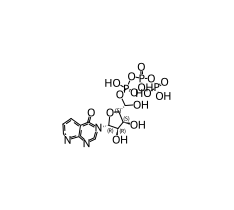 O=c1c2cccnc2ncn1[C@@H]1O[C@H](C(O)OP(=O)(O)OP(=O)(O)OP(=O)(O)O)[C@@H](O)[C@H]1O